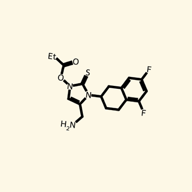 CCC(=O)On1cc(CN)n(C2CCc3c(F)cc(F)cc3C2)c1=S